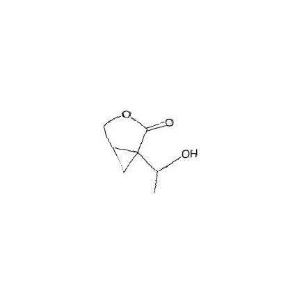 CC(O)C12CC1COC2=O